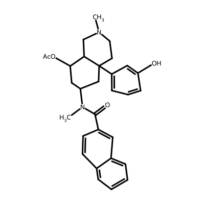 CC(=O)OC1CC(N(C)C(=O)c2ccc3ccccc3c2)CC2(c3cccc(O)c3)CCN(C)CC12